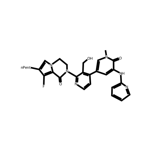 CCCCCc1cn2c(c1F)C(=O)N(c1nccc(-c3cc(Nc4ccccn4)c(=O)n(C)c3)c1CO)CC2